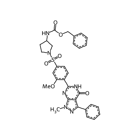 COc1cc(S(=O)(=O)N2CCC(NC(=O)OCc3ccccc3)C2)ccc1-c1nc2c(c(-c3ccccc3)nn2C)c(=O)[nH]1